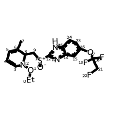 CCON1C=CC=C(C)C1C[S+]([O-])c1nc2cc(OC(F)(F)CF)ccc2[nH]1